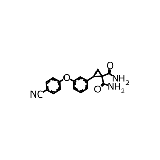 N#Cc1ccc(Oc2cccc(C3CC3(C(N)=O)C(N)=O)c2)cc1